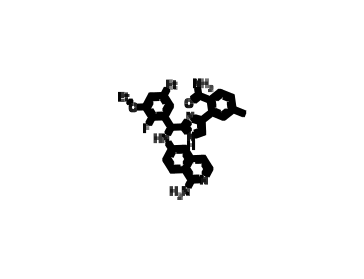 CCOc1cc(CC)cc(C(Nc2ccc3c(N)nccc3c2)c2nc(-c3cc(C)ccc3C(N)=O)c[nH]2)c1F